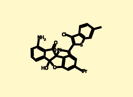 Cc1ccc2c(Cl)c(C(=O)NC34C(=O)c5c(N)cccc5C3(O)Oc3cc(C(C)C)ccc34)sc2c1